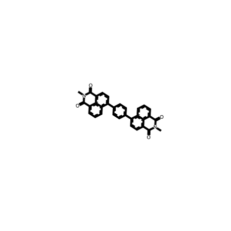 CN1C(=O)c2cccc3c(-c4ccc(-c5ccc6c7c(cccc57)C(=O)N(C)C6=O)cc4)ccc(c23)C1=O